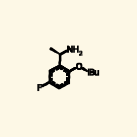 CC[C@H](C)Oc1ccc(F)cc1[C@@H](C)N